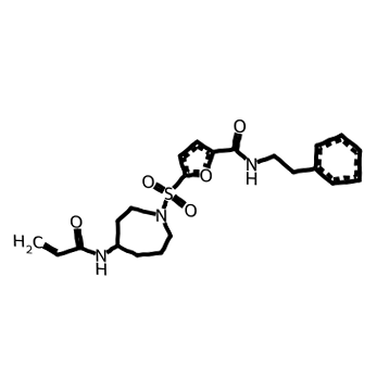 C=CC(=O)NC1CCCN(S(=O)(=O)c2ccc(C(=O)NCCc3ccccc3)o2)CC1